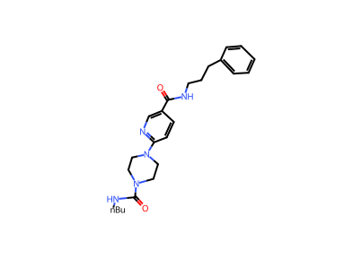 CCCCNC(=O)N1CCN(c2ccc(C(=O)NCCCc3ccccc3)cn2)CC1